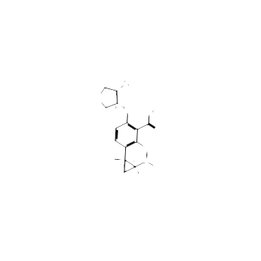 N[C@@H]1COC[C@@H]1Sc1ccc2c(c1C(=O)O)OB(O)[C@@H]1C[C@H]21